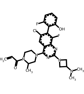 C=CC(=O)N1CCN(c2nc(N3CC(N(C)C)C3)nc3c(F)c(-c4c(O)cccc4F)c(Cl)cc23)CC1C